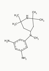 CN(c1cc(N)cc(N)c1)C1CC(C)(C)NC(C)(C)C1